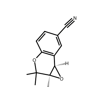 CC1(C)Oc2ccc(C#N)cc2[C@H]2O[C@]21C